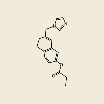 CCC(=O)Oc1ccc2c(c1)C=C(Cn1ccnc1)CC2